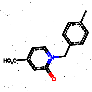 Cc1ccc(Cn2ccc(C(=O)O)cc2=O)cc1